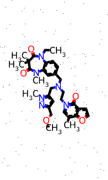 CCN1C(=O)C(C)(C)C(=O)N(C)c2cc(CN(CCn3cc(C)c4occc4c3=O)Cc3cc(COC)nn3C)ccc21